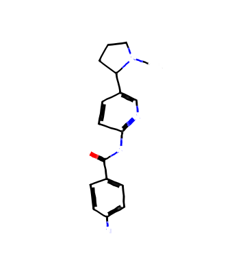 CN1CCCC1c1ccc(NC(=O)c2ccc(N)cc2)nc1